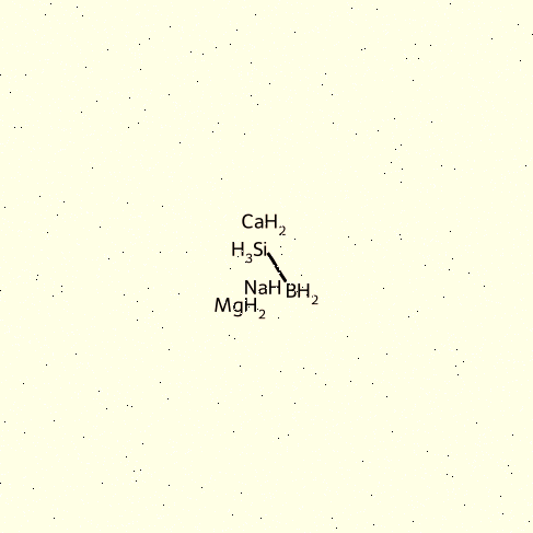 B[SiH3].[CaH2].[MgH2].[NaH]